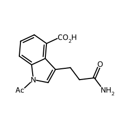 CC(=O)n1cc(CCC(N)=O)c2c(C(=O)O)cccc21